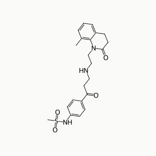 Cc1cccc2c1N(CCNCCC(=O)c1ccc(NS(C)(=O)=O)cc1)C(=O)CC2